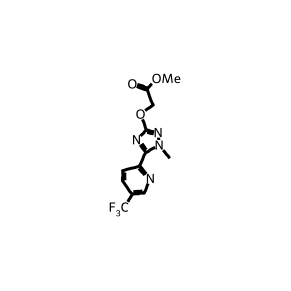 COC(=O)COc1nc(-c2ccc(C(F)(F)F)cn2)n(C)n1